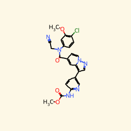 COC(=O)Nc1ccc(-c2cnn3ccc(C(=O)N(CC#N)c4ccc(Cl)c(OC)c4)cc23)cn1